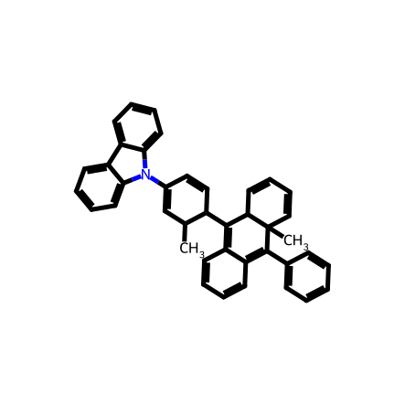 CC1C=C(n2c3ccccc3c3ccccc32)C=CC1C1=c2ccccc2=C(c2ccccc2)C2(C)C=CC=CC12